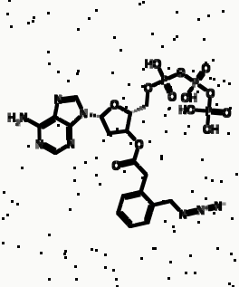 [N-]=[N+]=NCc1ccccc1CC(=O)OC1C[C@H](n2cnc3c(N)ncnc32)O[C@@H]1COP(=O)(O)OP(=O)(O)OP(=O)(O)O